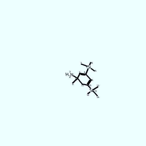 CC1(N)C=C([Si](C)(C)C)C=C([Si](C)(C)C)C1